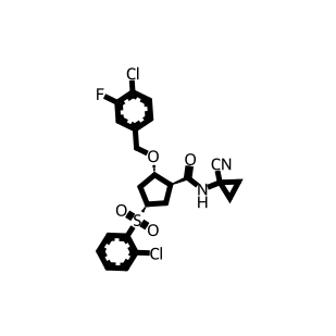 N#CC1(NC(=O)[C@H]2C[C@H](S(=O)(=O)c3ccccc3Cl)C[C@@H]2OCc2ccc(Cl)c(F)c2)CC1